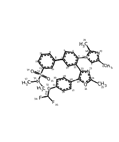 Cc1cn(-c2ccc(-c3cccc(S(=O)(=O)N(C)C)c3)cc2-c2nc(C)oc2-c2ccc(OC(F)F)cc2)c(C)n1